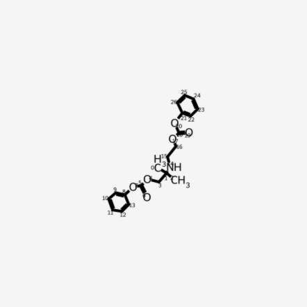 CC(C)(COC(=O)Oc1ccccc1)NCCOC(=O)Oc1ccccc1